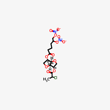 CC(Cl)C(=O)O[C@H]1CO[C@H]2[C@@H]1OC[C@@H]2OC(=O)CCCC(CO[N+](=O)[O-])O[N+](=O)[O-]